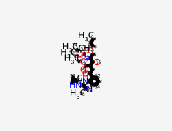 CCCCOCC(NC(=O)OC(C)(C)C)C(=O)C(CC(=O)c1cccc2nc(C)c(NC3(C)CC3)nc12)C(=O)OCC